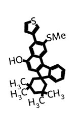 CSc1cc2c3c(cc(O)c2cc1-c1ccsc1)C1(CC(C)(C)CC(C)(C)C1)c1ccccc1-3